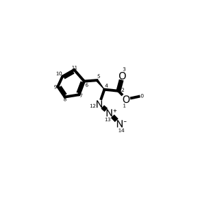 COC(=O)[C@H](Cc1ccccc1)N=[N+]=[N-]